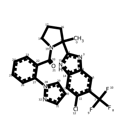 CC1(c2nc3cc(C(F)(F)F)c(Cl)cc3[nH]2)CCCN1C(=O)c1ccccc1-n1cccn1